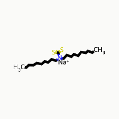 CCCCCCCCCCN(CCCCCCCCCC)C(=S)[S-].[Na+]